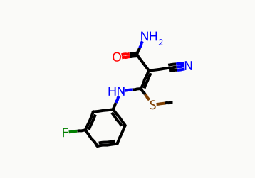 CSC(Nc1cccc(F)c1)=C(C#N)C(N)=O